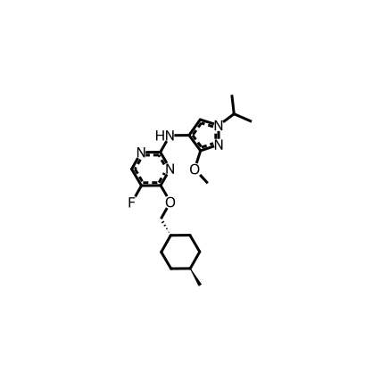 COc1nn(C(C)C)cc1Nc1ncc(F)c(OC[C@H]2CC[C@H](C)CC2)n1